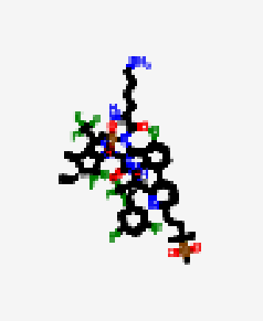 C=C[C@@H]1C(=C)c2c(C(F)(F)F)nn(CC(=O)N[C@@H](Cc3cc(F)cc(F)c3)c3nc(CCC(C)(C)S(C)(=O)=O)ccc3-c3ccc(Cl)c4c(N(C(=O)[C@@H](N)CCCCN)S(C)(=O)=O)nn(CC(F)(F)F)c34)c2C1(F)F